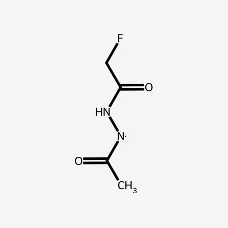 CC(=O)[N]NC(=O)CF